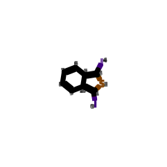 Ic1sc(I)c2ccccc12